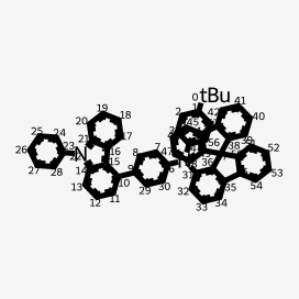 CC(C)(C)c1ccc(N(c2ccc(-c3cccc4c3c3ccccc3n4-c3ccccc3)cc2)c2cccc3c2C2(c4ccccc4-c4ccccc42)c2ccccc2-3)cc1